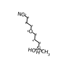 C[SiH](O)CCCOCCCC#N